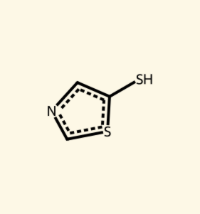 Sc1cncs1